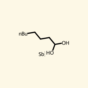 CCCCCCCC(O)O.[Sb]